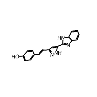 Oc1ccc(/C=C/c2cc(C3=NC4C=CC=CC4N3)[nH]n2)cc1